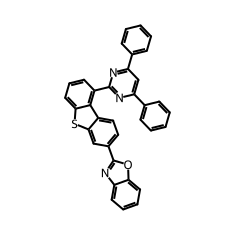 c1ccc(-c2cc(-c3ccccc3)nc(-c3cccc4sc5cc(-c6nc7ccccc7o6)ccc5c34)n2)cc1